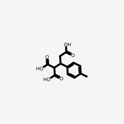 Cc1ccc(C(CC(=O)O)C(C(=O)O)C(=O)O)cc1